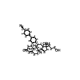 C[C@]12C[C@H](c3ccc(-c4ccc(C#N)cc4)cc3)[C@@H]3[C@H]4CCC(=O)C=C4CC[C@H]3C1=CC[C@@]2(O)CCCO